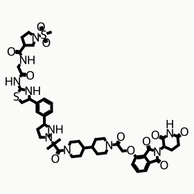 CC(C)(C(=O)N1CCC(C2CCN(C(=O)COc3cccc4c3C(=O)N(C3CCC(=O)NC3=O)C4=O)CC2)CC1)N1CCC(c2cccc(C3CSC(NC(=O)CNC(=O)C4CCN(S(C)(=O)=O)C4)N3)c2)N1